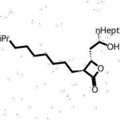 CCCCCCC[C@H](O)C[C@@H]1OC(=O)[C@H]1CCCCCCCC(C)C